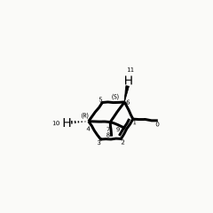 CC1=CC[C@H]2C[C@H]1C2(C)C